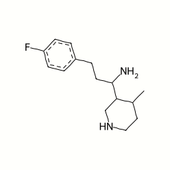 CC1CCNCC1C(N)CCc1ccc(F)cc1